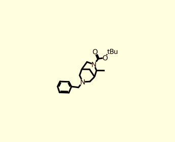 CC1C2CC(CN(Cc3ccccc3)C2)CN1C(=O)OC(C)(C)C